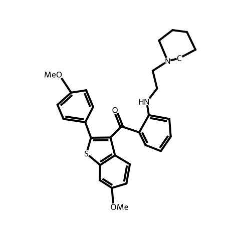 COc1ccc(-c2sc3cc(OC)ccc3c2C(=O)c2ccccc2NCCN2CCCCC2)cc1